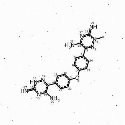 Cn1nc(-c2ccc(Oc3ccc(-c4n[nH]c(=N)nc4N)cc3)cc2)c(N)nc1=N